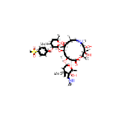 CCCNC[C@]1(O)[C@H](C)O[C@@H](O[C@H]2[C@H](C)[C@@H](O[C@@H]3O[C@H](C)C[C@H](NC)[C@H]3Oc3ccc(S(C)(=O)=O)cc3)[C@](C)(O)C[C@@H](C)CN[C@H](C)[C@@H](O)[C@](C)(O)[C@@H](CC)OC(=O)[C@@H]2C)C[C@@]1(C)OC